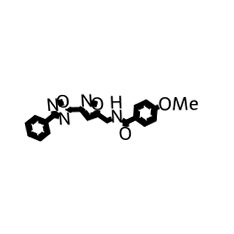 COc1ccc(C(=O)NCc2cc(-c3nc(-c4ccccc4)no3)no2)cc1